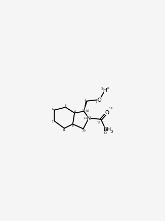 [3H]OC[C@@H]1C2CCCCC2CN1C(B)=O